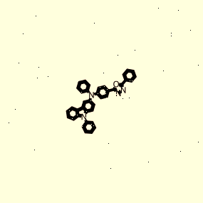 c1ccc(-c2nnc(-c3ccc(N(c4ccccc4)c4ccc5c(c4)c4ccccc4n5-c4ccccc4)cc3)o2)cc1